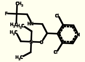 CC[Si](CC)(CC)OC(CNCC(C)(C)F)c1c(Cl)cncc1Cl